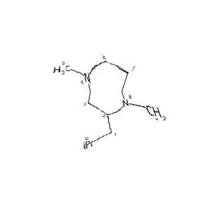 CC(C)CC1CN(C)CCN1C